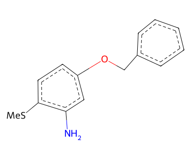 CSc1ccc(OCc2ccccc2)cc1N